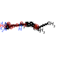 CCCCCCCCCCC(C)OP(=O)(OC)Oc1ccc2c(c1)CCC1C2CCC2(C)C(OCCC(=O)NCCOCCOCC(=O)Oc3ccc(N)c(O)c3C(N)=O)CCC12